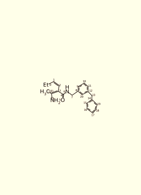 CC/C=C\C(C(=O)NCc1cccc(Cc2ccccc2)c1)=C(/C)N